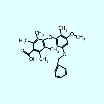 COc1cc(OCc2ccccc2)cc(Oc2c(C)c(C)c(C(=O)O)c(C)c2C)c1C